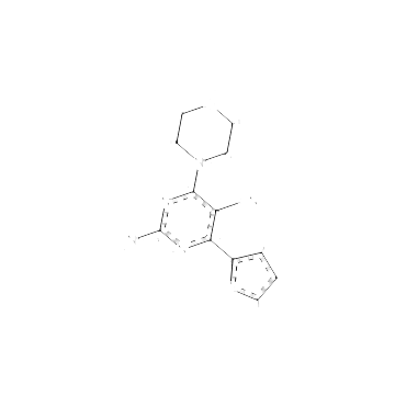 N#Cc1c(-c2ccco2)nc(N)nc1N1CCOCC1